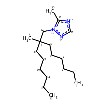 CCCCCCC(C)(CCCCCC)Cn1ncnc1C